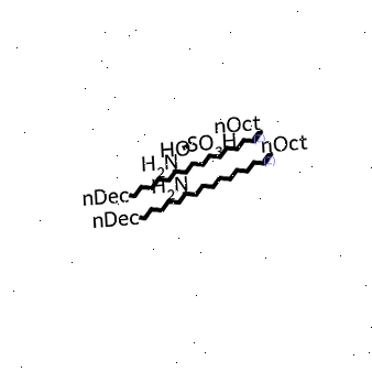 CCCCCCCC/C=C\CCCCCCCCC(N)CCCCCCCCCCCCCCC.CCCCCCCC/C=C\CCCCCCCCC(N)CCCCCCCCCCCCCCC.O=S(=O)(O)O